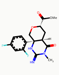 COC(=O)[C@@H]1C[C@H]2C(=O)N(C)C(=N)N[C@@]2(c2ccc(F)cc2F)CO1